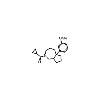 COc1cccc(C23CCCC2CN(C(=O)C2CC2)CCC3)c1